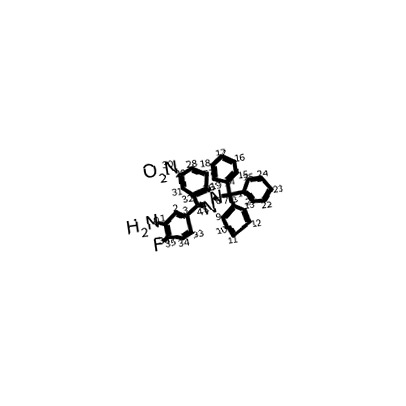 Nc1cc(-c2nn(C(c3ccccc3)(c3ccccc3)c3ccccc3)c3ccc([N+](=O)[O-])cc23)ccc1F